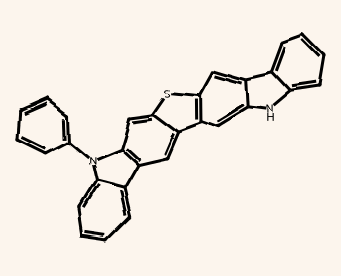 c1ccc(-n2c3ccccc3c3cc4c(cc32)sc2cc3c(cc24)[nH]c2ccccc23)cc1